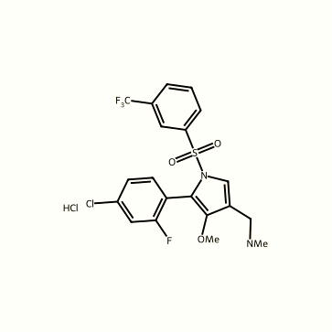 CNCc1cn(S(=O)(=O)c2cccc(C(F)(F)F)c2)c(-c2ccc(Cl)cc2F)c1OC.Cl